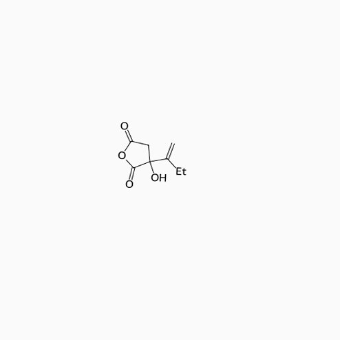 C=C(CC)C1(O)CC(=O)OC1=O